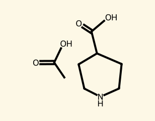 CC(=O)O.O=C(O)C1CCNCC1